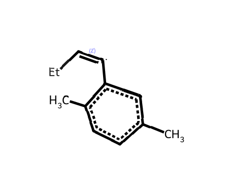 CC/C=[C]\c1cc(C)ccc1C